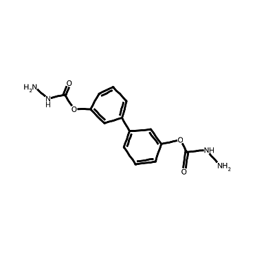 NNC(=O)Oc1cccc(-c2cccc(OC(=O)NN)c2)c1